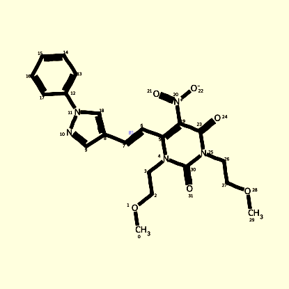 COCCn1c(/C=C/c2cnn(-c3ccccc3)c2)c([N+](=O)[O-])c(=O)n(CCOC)c1=O